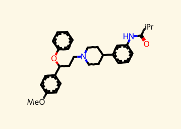 COc1ccc(C(CCN2CCC(c3cccc(NC(=O)C(C)C)c3)CC2)Oc2ccccc2)cc1